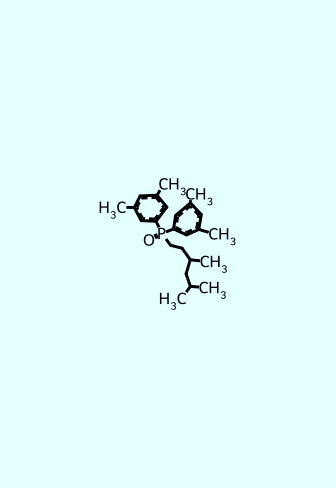 Cc1cc(C)cc(P(=O)(CCC(C)CC(C)C)c2cc(C)cc(C)c2)c1